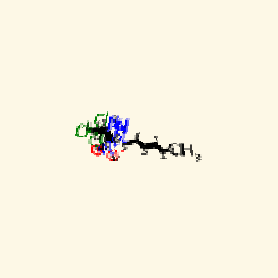 CCCCCCn1nnc(C(Cl)(Cl)Cl)c1[N+](=O)[O-]